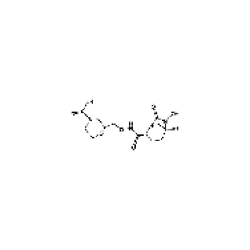 O=C(NOCC1CN(C(=O)O)CCO1)[C@@H]1CC[C@@H]2CN1C(=O)N2O